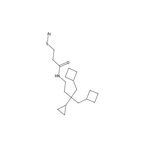 CC(=O)SCCC(=O)NCCC(CC1CCC1)(CC1CCC1)C1CC1